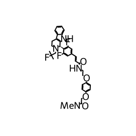 CNC(=O)COc1ccc(OCCNC(=O)/C=C/c2cc(F)c([C@@H]3c4[nH]c5ccccc5c4CCN3CC(C)(C)F)c(F)c2)cc1